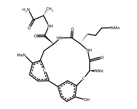 CNCCC[C@@H]1NC(=O)[C@@H](NC)Cc2cc(ccc2O)-c2ccc(NC)c(c2)C[C@@H](C(=O)N[C@@H](C)C(N)=O)NC1=O